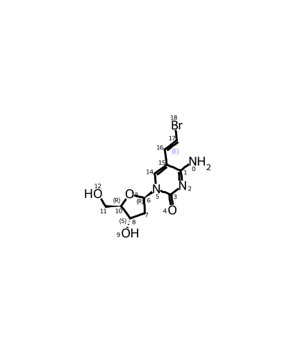 Nc1nc(=O)n([C@H]2C[C@H](O)[C@@H](CO)O2)cc1/C=C/Br